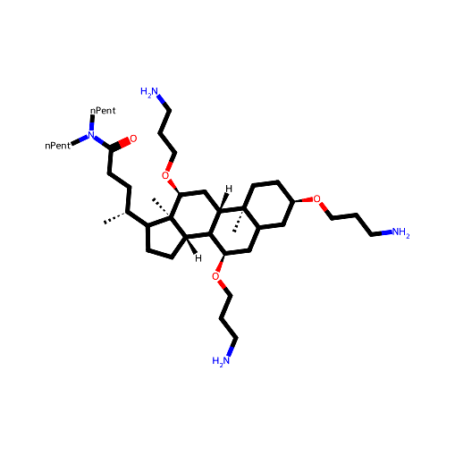 CCCCCN(CCCCC)C(=O)CC[C@@H](C)C1CC[C@H]2C3[C@H](OCCCN)CC4C[C@H](OCCCN)CC[C@]4(C)[C@H]3C[C@H](OCCCN)[C@]12C